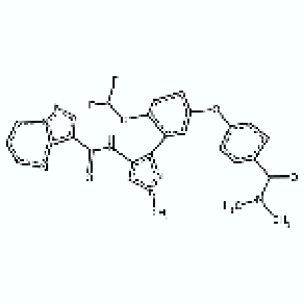 CN(C)C(=O)c1ccc(Oc2ccc(OC(F)F)c(-c3nn(C)cc3NC(=O)c3cnn4cccnc34)c2)cc1